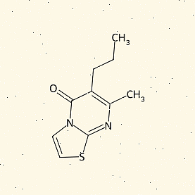 CCCc1c(C)nc2sccn2c1=O